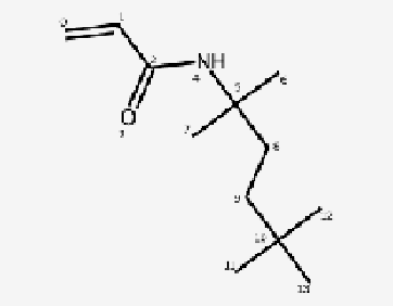 C=CC(=O)NC(C)(C)CCC(C)(C)C